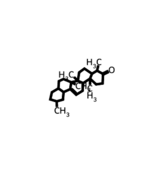 CC1CCC2CCC3(C)C(=CCC4C5(C)CCC(=O)C(C)C5CCC43C)C2C1